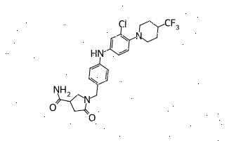 NC(=O)C1CC(=O)N(Cc2ccc(Nc3ccc(N4CCC(C(F)(F)F)CC4)c(Cl)c3)cc2)C1